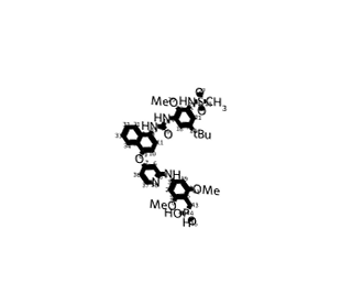 COc1cc(Nc2cc(Oc3ccc(NC(=O)Nc4cc(C(C)(C)C)cc(NS(C)(=O)=O)c4OC)c4ccccc34)ccn2)cc(OC)c1C[PH](=O)O